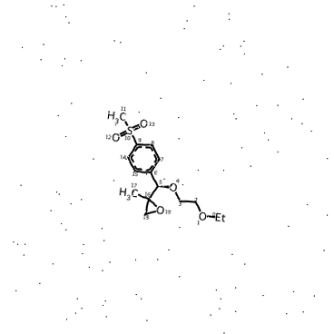 CCOCCO[C@H](c1ccc(S(C)(=O)=O)cc1)C1(C)CO1